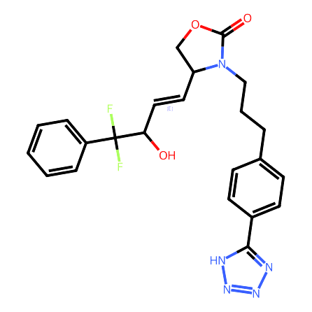 O=C1OCC(/C=C/C(O)C(F)(F)c2ccccc2)N1CCCc1ccc(-c2nnn[nH]2)cc1